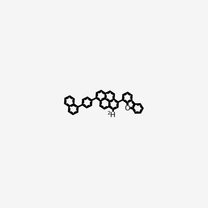 [2H]c1cc(-c2cccc3c2oc2ccccc23)c2ccc3ccc(-c4ccc(-c5cccc6ccccc56)cc4)c4ccc1c2c34